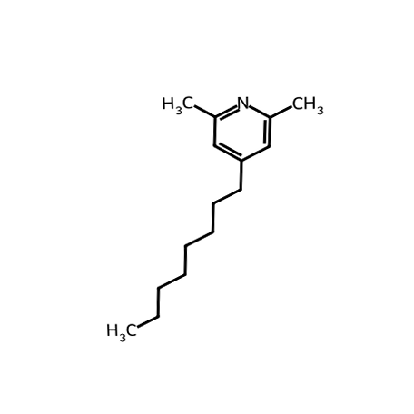 CCCCCCCCc1cc(C)nc(C)c1